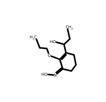 CCCOC1=C(C(O)CC)CCCC1=NO